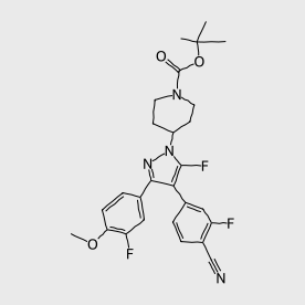 COc1ccc(-c2nn(C3CCN(C(=O)OC(C)(C)C)CC3)c(F)c2-c2ccc(C#N)c(F)c2)cc1F